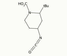 CC(C)(C)C1CC(N=C=O)CCN1C(=O)O